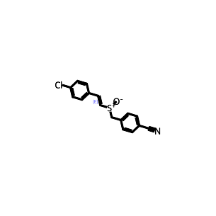 N#Cc1ccc(C[S+]([O-])/C=C/c2ccc(Cl)cc2)cc1